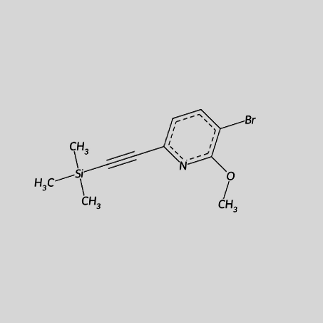 COc1nc(C#C[Si](C)(C)C)ccc1Br